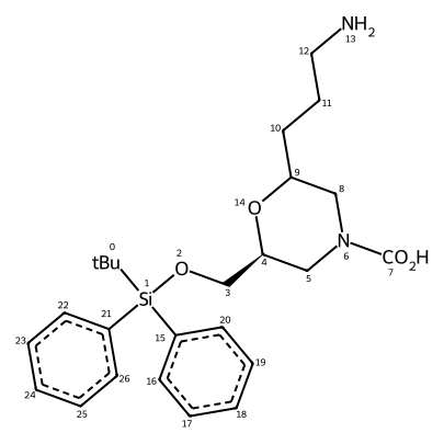 CC(C)(C)[Si](OC[C@@H]1CN(C(=O)O)CC(CCCN)O1)(c1ccccc1)c1ccccc1